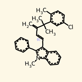 C=C(/C=C/c1c(-c2ccccc2)n(C)c2ccccc12)C(C)(C)c1cc(Cl)ccc1C